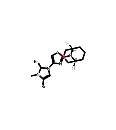 CN1C(Br)=CN(c2csc(N3[C@@H]4CCC[C@H]3COC4)n2)C1Br